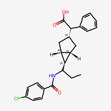 CCC(NC(=O)c1ccc(Cl)cc1)[C@H]1[C@@H]2C[C@H](C(C(=O)O)c3ccccc3)C[C@@H]21